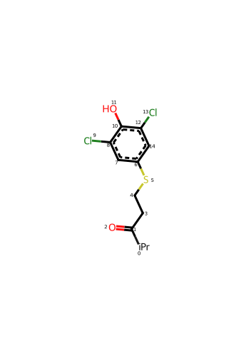 CC(C)C(=O)CCSc1cc(Cl)c(O)c(Cl)c1